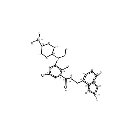 CCN(c1cc(Cl)cc(C(=O)NCc2ccc(C)c3cn(C)nc23)c1C)C1CCC(N(C)C)CC1